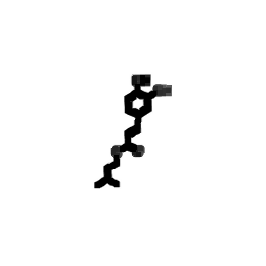 CC(C)=CCOC(=O)C=Cc1ccc(O)c(O)c1